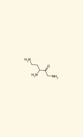 NCCC(N)C(=O)CN